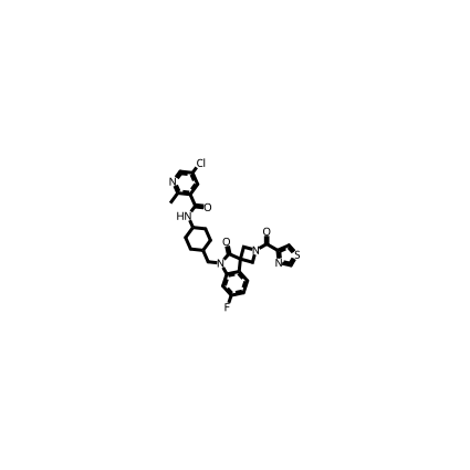 Cc1ncc(Cl)cc1C(=O)NC1CCC(CN2C(=O)C3(CN(C(=O)c4cscn4)C3)c3ccc(F)cc32)CC1